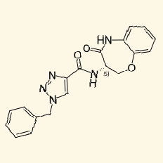 O=C(N[C@H]1COc2ccccc2NC1=O)c1cn(Cc2ccccc2)nn1